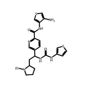 CCN1CCCC1CC(NC(=O)Nc1ccsc1)c1ccc(C(=O)Nc2cscc2N)nc1